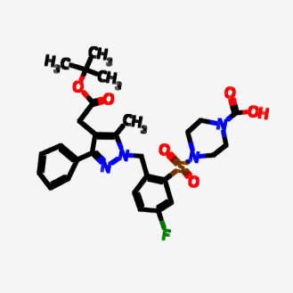 Cc1c(CC(=O)OC(C)(C)C)c(-c2ccccc2)nn1Cc1ccc(F)cc1S(=O)(=O)N1CCN(C(=O)O)CC1